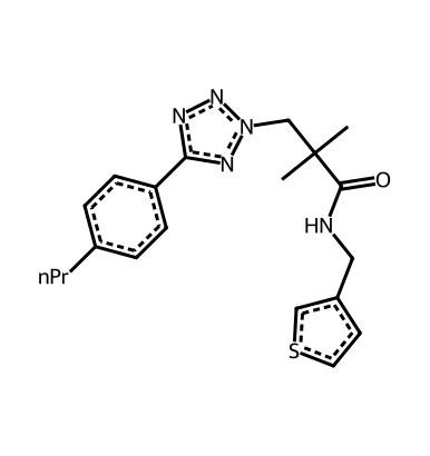 CCCc1ccc(-c2nnn(CC(C)(C)C(=O)NCc3ccsc3)n2)cc1